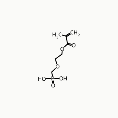 C=C(C)C(=O)OCCOCP(=O)(O)O